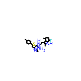 C=C/N=C1/C=C(c2ccc(C)cc2)S/C1=C(/N)NCCc1c(C)[nH]c2c(F)ccc(C)c12